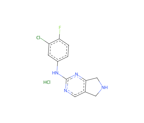 Cl.Fc1ccc(Nc2ncc3c(n2)CNC3)cc1Cl